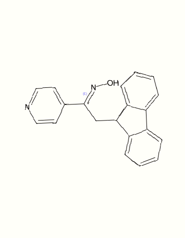 O/N=C(\CC1c2ccccc2-c2ccccc21)c1ccncc1